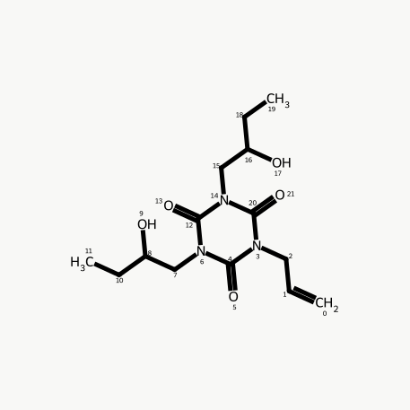 C=CCn1c(=O)n(CC(O)CC)c(=O)n(CC(O)CC)c1=O